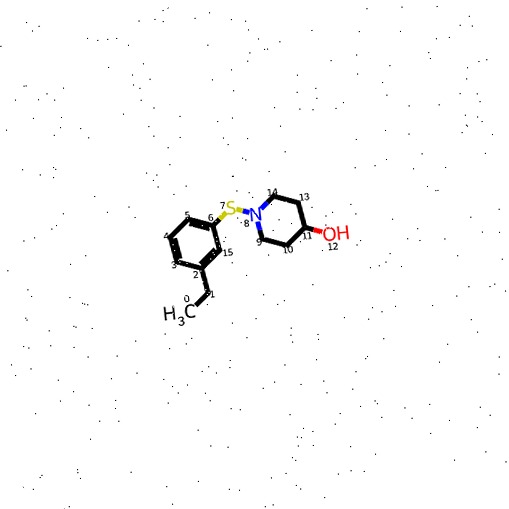 CCc1cccc(SN2CCC(O)CC2)c1